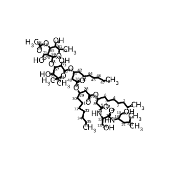 CCCCCCCC(CC(=O)NC(CO)C(=O)NC(CO)CC(C)C)OC(=O)CC(CCCCCCC)OC(=O)CC(CCCCCCC)OC1OC(C)(C)C(O)C(OC2OC(C)C(O)C(OC(C)=O)C2CO)C1O